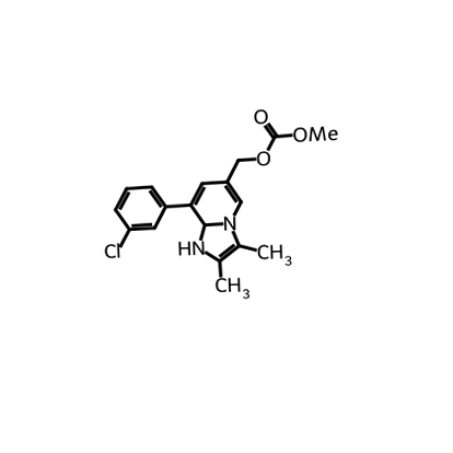 COC(=O)OCC1=CN2C(C)=C(C)NC2C(c2cccc(Cl)c2)=C1